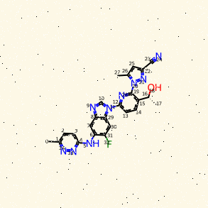 Cc1ccc(Nc2cc3ncn(-c4ccc([C@@H](C)O)c(-n5nc(C#N)cc5C)n4)c3cc2F)nn1